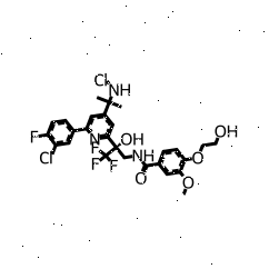 COc1cc(C(=O)NC[C@@](O)(c2cc(C(C)(C)NCl)cc(-c3ccc(F)c(Cl)c3)n2)C(F)(F)F)ccc1OCCO